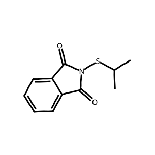 CC(C)SN1C(=O)c2ccccc2C1=O